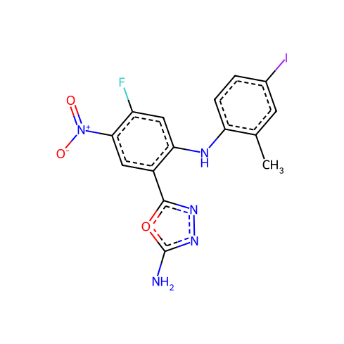 Cc1cc(I)ccc1Nc1cc(F)c([N+](=O)[O-])cc1-c1nnc(N)o1